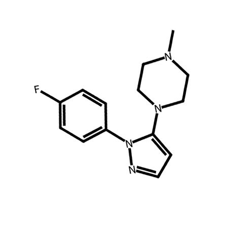 CN1CCN(c2ccnn2-c2ccc(F)cc2)CC1